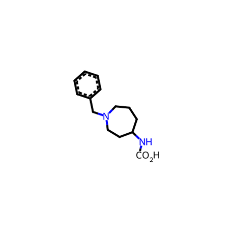 O=C(O)NC1CCCN(Cc2ccccc2)CC1